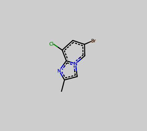 Cc1cn2cc(Br)cc(Cl)c2n1